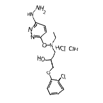 CCN(CC(O)COc1ccccc1Cl)Oc1ccc(NN)nn1.Cl.Cl